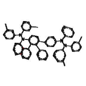 Cc1cccc(N(c2cccc(C)c2)N(c2ccccc2)c2ccc(-c3ccc(N(c4ccccc4)N(c4cccc(C)c4)c4cccc(C)c4)c(-c4ccccc4)c3-c3ccccc3)cc2)c1